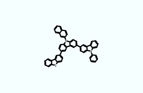 c1ccc(-n2c3ccccc3c3cc(-c4ccc5c(c4)c4cc(-c6ccc7sc8ccccc8c7c6)ccc4n5-c4ccc5ccccc5c4)ccc32)cc1